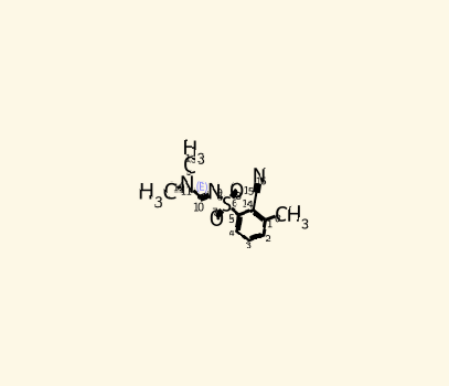 Cc1cccc(S(=O)(=O)/N=C/N(C)C)c1C#N